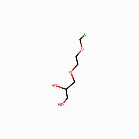 OCC(O)COCCOCCl